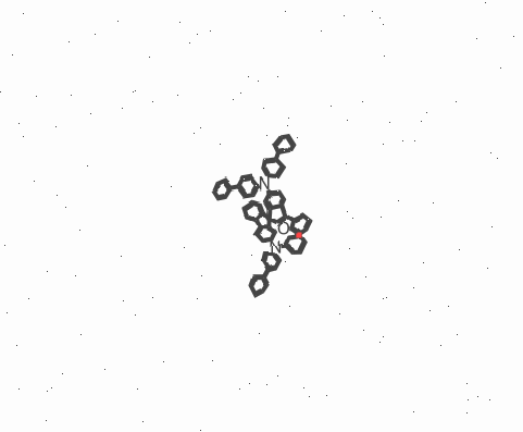 c1ccc(-c2ccc(N(c3ccccc3)c3ccc4c(c3)C3(c5ccccc5-4)c4cc(N(c5ccc(-c6ccccc6)cc5)c5ccc(-c6ccccc6)cc5)ccc4-c4c3oc3ccccc43)cc2)cc1